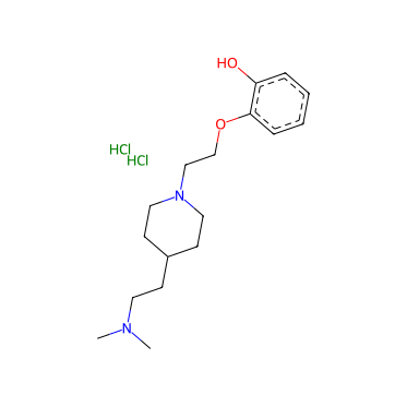 CN(C)CCC1CCN(CCOc2ccccc2O)CC1.Cl.Cl